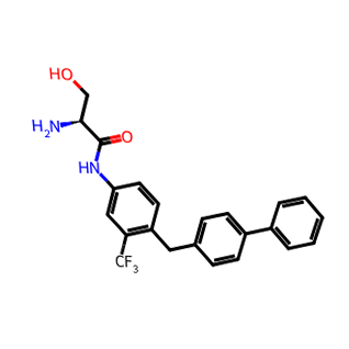 N[C@@H](CO)C(=O)Nc1ccc(Cc2ccc(-c3ccccc3)cc2)c(C(F)(F)F)c1